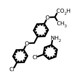 CC(Oc1ccc(COc2ccc(Cl)cc2)cc1)C(=O)O.Nc1cccc(Cl)c1